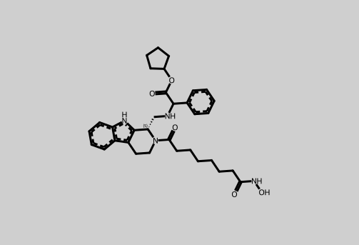 O=C(CCCCCCC(=O)N1CCc2c([nH]c3ccccc23)[C@@H]1CNC(C(=O)OC1CCCC1)c1ccccc1)NO